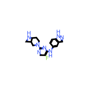 Fc1cnc(N2CCC3NCC3C2)nc1Nc1ccc2[nH]ncc2c1